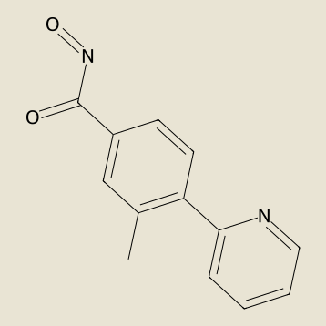 Cc1cc(C(=O)N=O)ccc1-c1ccccn1